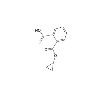 O=C(O)c1ccccc1C(=O)OC1CC1